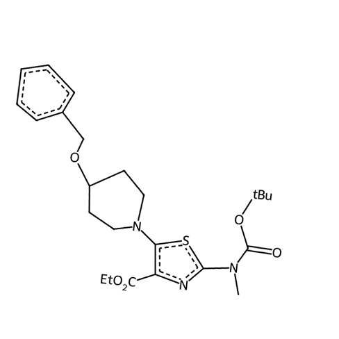 CCOC(=O)c1nc(N(C)C(=O)OC(C)(C)C)sc1N1CCC(OCc2ccccc2)CC1